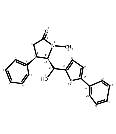 CN1C(=O)C[C@H](c2ccccc2)[C@@H]1C(O)c1ccc(-c2ccccc2)s1